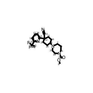 COC(=O)N1CCCN(C2CCC(C#N)(c3cccc(C(F)(F)F)n3)CC2)CC1